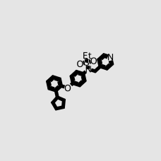 CCS(=O)(=O)N(Cc1ccncc1)c1ccc(Oc2ccccc2C2CCCC2)cc1